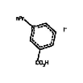 CCC[n+]1cccc(C(=O)O)c1.[I-]